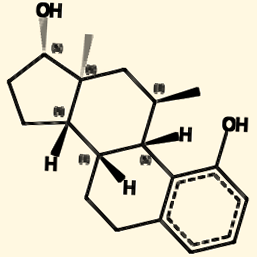 C[C@@H]1C[C@]2(C)[C@@H](O)CC[C@H]2[C@H]2CCc3cccc(O)c3[C@H]21